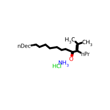 CCCCCCCCCCCCCCCCCC(=O)C(CCC)=C(C)C.Cl.N